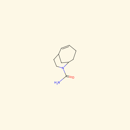 NC(=O)N1CCC2C=CCCC1C2